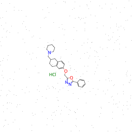 Cl.c1ccc(-c2nnc(COc3ccc4c(c3)CCC(CN3CCCCC3)C4)o2)cc1